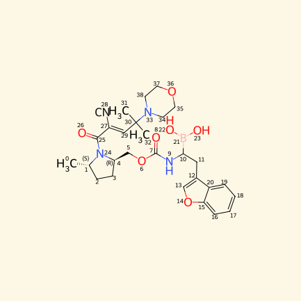 C[C@H]1CC[C@H](COC(=O)NC(Cc2coc3ccccc23)B(O)O)N1C(=O)C(C#N)=CC(C)(C)N1CCOCC1